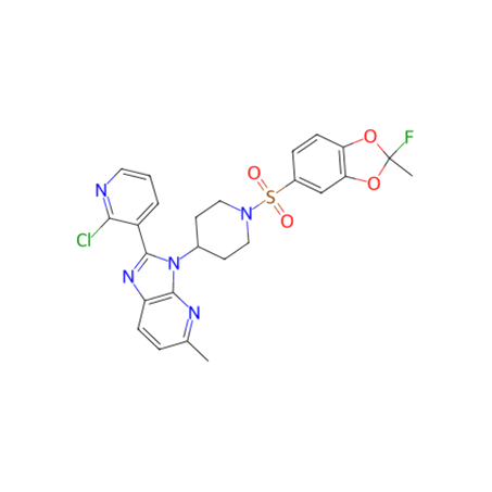 Cc1ccc2nc(-c3cccnc3Cl)n(C3CCN(S(=O)(=O)c4ccc5c(c4)OC(C)(F)O5)CC3)c2n1